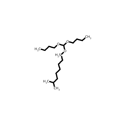 CCCCOC(OCCCC)O[SiH2]CCCCCC(C)C